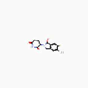 N#Cc1cc2c(cc1F)C(O)N(C1CCC(=O)NC1=O)C2